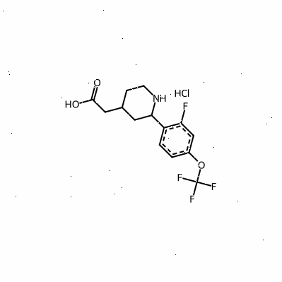 Cl.O=C(O)CC1CCNC(c2ccc(OC(F)(F)F)cc2F)C1